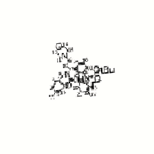 [CH]c1ccc(CN(CCCN2CCOCC2)C(=O)N(c2ccc(C)c(F)c2)c2ccccc2NC(=O)OC(C)(C)C)cc1